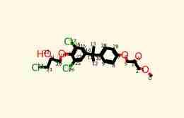 COCC(=O)COc1ccc(C(C)(C)c2cc(Cl)c(OCC(O)CCl)c(Cl)c2)cc1